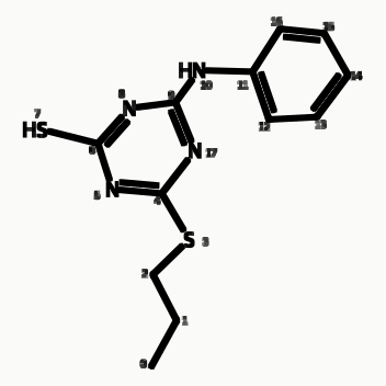 CCCSc1nc(S)nc(Nc2ccccc2)n1